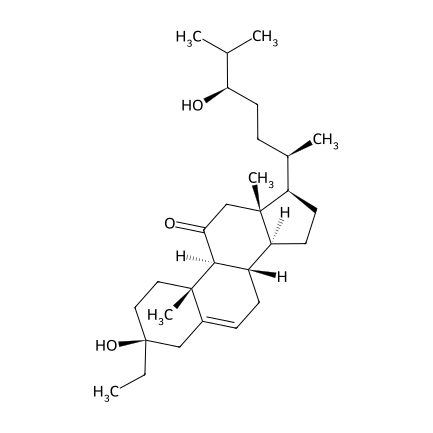 CC[C@]1(O)CC[C@@]2(C)C(=CC[C@H]3[C@@H]4CC[C@H]([C@H](C)CC[C@@H](O)C(C)C)[C@@]4(C)CC(=O)[C@@H]32)C1